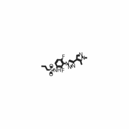 CCCS(=O)(=O)Nc1ccc(F)c(-n2cc(-c3cnn(C)c3C)nn2)c1F